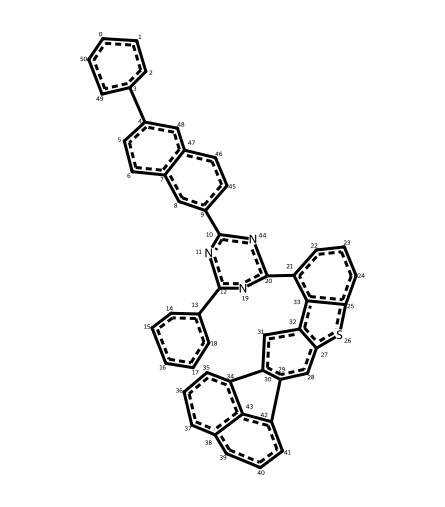 c1ccc(-c2ccc3cc(-c4nc(-c5ccccc5)nc(-c5cccc6sc7cc8c(cc7c56)-c5cccc6cccc-8c56)n4)ccc3c2)cc1